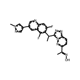 CC(=NO)c1ccc2nnc(C(C)c3c(F)cc4ncc(-c5cnn(C)c5)cc4c3F)n2n1